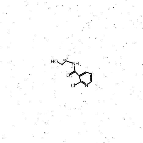 C[C@@H](CO)NC(=O)c1cccnc1Cl